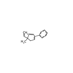 C=CC1(C)C=CC(c2ccccc2)=CC1